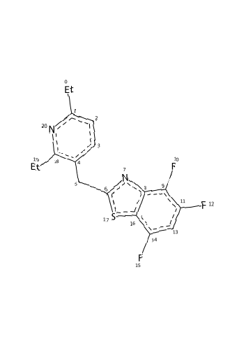 CCc1[c]cc(Cc2nc3c(F)c(F)cc(F)c3s2)c(CC)n1